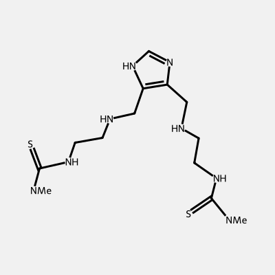 CNC(=S)NCCNCc1nc[nH]c1CNCCNC(=S)NC